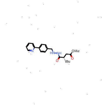 COC(=O)C[C@@H](C(=O)NNCc1ccc(-c2ccccn2)cc1)C(C)(C)C